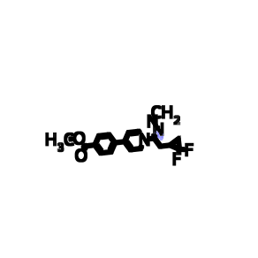 C=N/N=C(/CC1CC1(F)F)N1C=CC(c2ccc(C(=O)OC)cc2)=CC1